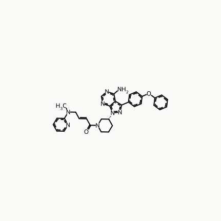 CN(C/C=C/C(=O)N1CCC[C@@H](n2nc(-c3ccc(Oc4ccccc4)cc3)c3c(N)ncnc32)C1)c1ccccn1